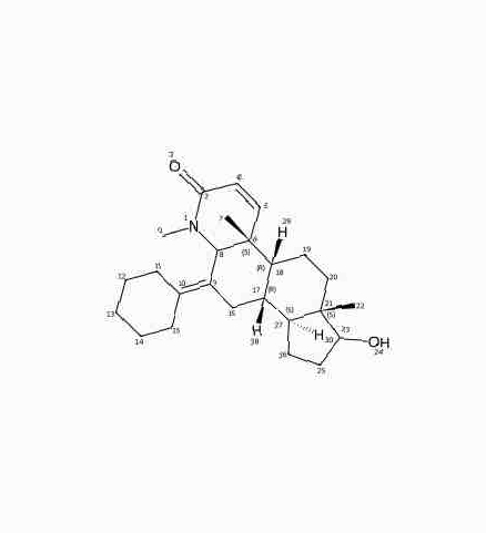 CN1C(=O)C=C[C@@]2(C)C1C(=C1CCCCC1)C[C@@H]1[C@H]2CC[C@]2(C)C(O)CC[C@@H]12